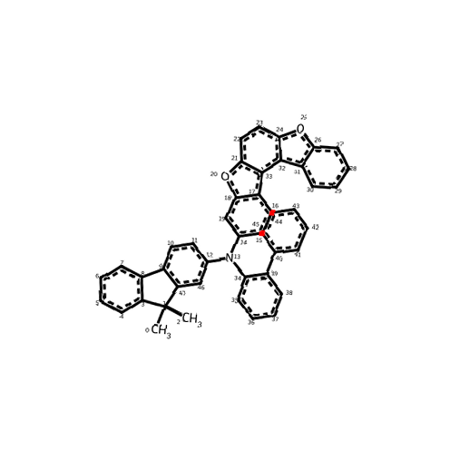 CC1(C)c2ccccc2-c2ccc(N(c3ccc4c(c3)oc3ccc5oc6ccccc6c5c34)c3ccccc3-c3ccccc3)cc21